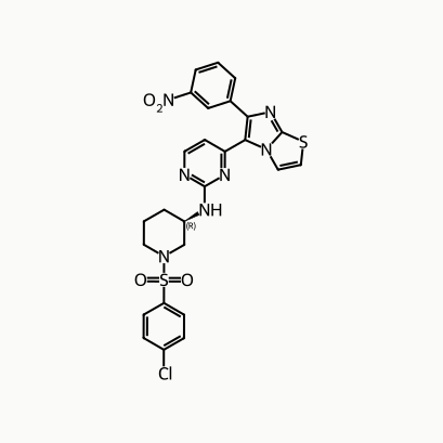 O=[N+]([O-])c1cccc(-c2nc3sccn3c2-c2ccnc(N[C@@H]3CCCN(S(=O)(=O)c4ccc(Cl)cc4)C3)n2)c1